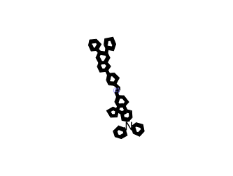 C1=C(/C=C/c2ccc(-c3ccc4cc(-c5ccccc5)c(-c5ccccc5)cc4c3)cc2)CCC2=C1C1(CCCC1)C1=C2CCC(N(c2ccccc2)c2ccccc2)=C1